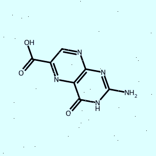 Nc1nc2ncc(C(=O)O)nc2c(=O)[nH]1